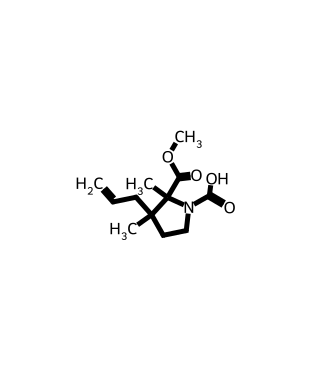 C=CCC1(C)CCN(C(=O)O)C1(C)C(=O)OC